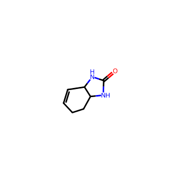 O=C1NC2C=CCCC2N1